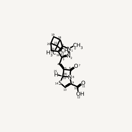 Cn1nc(C=C2C(=O)N3C(C(=O)O)=CS[C@H]23)c2c1C1CC(C2)C1(C)C